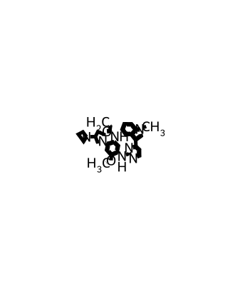 C=CC(=O)Nc1cc(Nc2nccc(-c3cn(C)c4ccccc34)n2)c(OC)cc1N1CCC(N2CCC2)C1